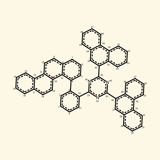 c1ccc(-c2cccc3ccc4c5ccccc5ccc4c23)c(-c2nc(-c3cc4ccccc4c4ccccc34)nc(-c3cc4ccccc4c4ccccc34)n2)c1